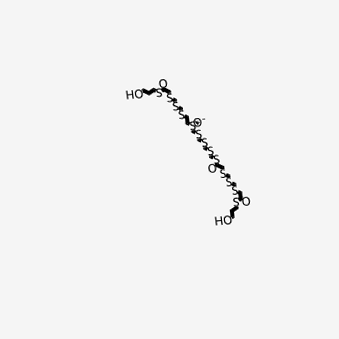 O=C(CSCSCSCC[S+]([O-])CSCSCSCSC(=O)CSCSCSCC(=O)SCCCO)SCCCO